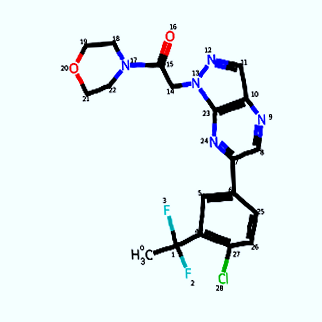 CC(F)(F)c1cc(-c2cnc3cnn(CC(=O)N4CCOCC4)c3n2)ccc1Cl